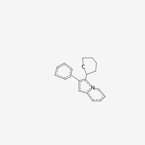 c1ccc(-c2cc3ccccn3c2C2CCCCC2)cc1